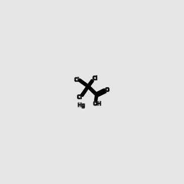 O=C(O)C(Cl)(Cl)Cl.[Hg]